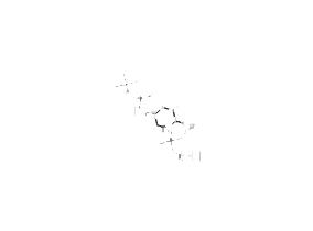 CC(C)(C)OC(=O)Nc1ccc(=O)n(C(C)(C)CO)c1